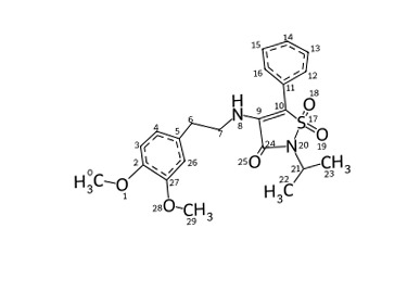 COc1ccc(CCNC2=C(c3ccccc3)S(=O)(=O)N(C(C)C)C2=O)cc1OC